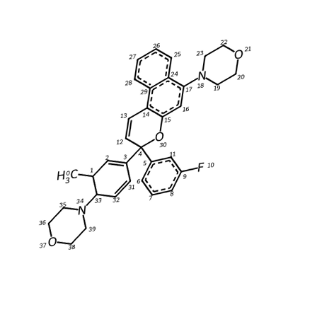 CC1C=C(C2(c3cccc(F)c3)C=Cc3c(cc(N4CCOCC4)c4ccccc34)O2)C=CC1N1CCOCC1